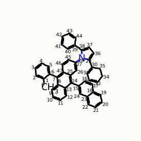 Cc1ccccc1-c1c2ccccc2c(-c2ccc3ccccc3c2)c2cc(-n3c(C4=CC=CCC4)ccc3-c3ccccc3)ccc12